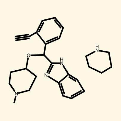 C#Cc1ccccc1C(OC1CCN(C)CC1)c1nc2ccccc2[nH]1.C1CCNCC1